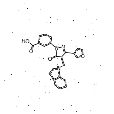 O=C(O)c1cccc(N2N=C(c3ccoc3)C(=Cn3ccc4ccccc43)C2=O)c1